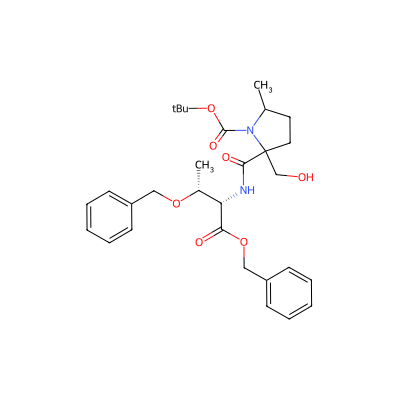 CC1CCC(CO)(C(=O)N[C@H](C(=O)OCc2ccccc2)[C@@H](C)OCc2ccccc2)N1C(=O)OC(C)(C)C